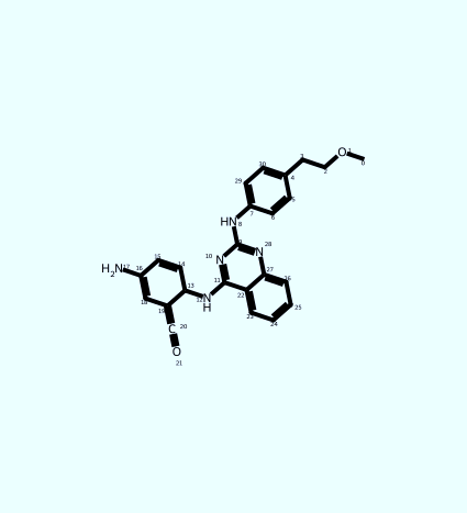 COCCc1ccc(Nc2nc(NC3C=CC(N)=CC3=C=O)c3ccccc3n2)cc1